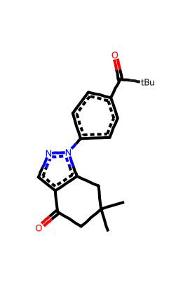 CC1(C)CC(=O)c2cnn(-c3ccc(C(=O)C(C)(C)C)cc3)c2C1